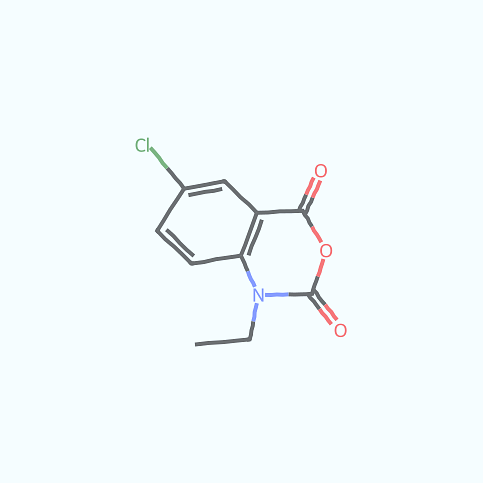 CCn1c(=O)oc(=O)c2cc(Cl)ccc21